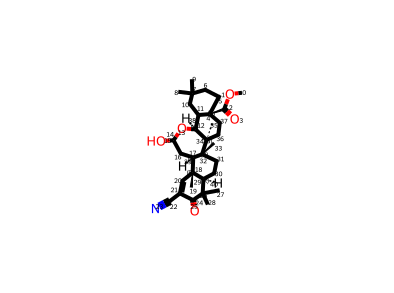 COC(=O)[C@]12CCC(C)(C)CC1[C@@H]1OC(O)C[C@@H]3[C@@]4(C)C=C(C#N)C(=O)C(C)(C)[C@@H]4CC[C@@]3(C)[C@]1(C)CC2